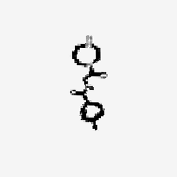 Cc1ccc(C(=O)NCC(=O)N2CCCNCC2)cc1